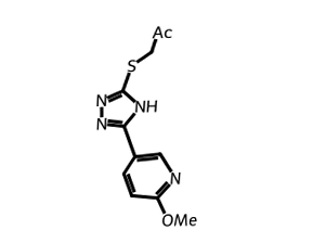 COc1ccc(-c2nnc(SCC(C)=O)[nH]2)cn1